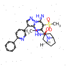 CCNC(=O)N1C2CC[C@H]1C[C@@H](c1nc3c(-c4ccc(-c5ccccc5)nc4)cnn3c(N)c1S(C)(=O)=O)C2